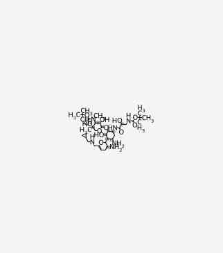 CN(C(=O)OC(C)(C)C)[C@@H]1[C@@H](O)[C@@H](O[C@@H]2[C@@H](O)[C@H](C3OC(CNCC4CC4)=CC[C@H]3N)[C@@H](N)C[C@H]2NC(=O)[C@@H](O)CNC(=O)OC(C)(C)C)OC[C@]1(C)O